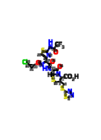 O=C(O)C1=C(CSc2nncs2)CS[C@H]2[C@H](NC(=O)C(=NOC3CC3Cl)c3csc(NC(=O)C(F)(F)F)n3)C(=O)N12